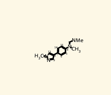 CNCN(C)c1ccc(-c2cnn(C)c2)cc1